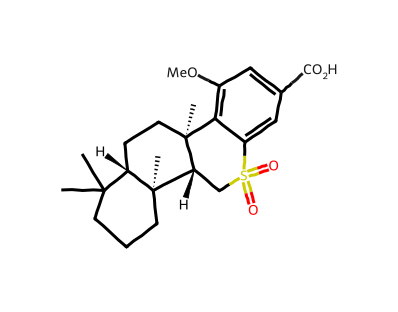 COc1cc(C(=O)O)cc2c1[C@]1(C)CC[C@H]3C(C)(C)CCC[C@]3(C)[C@H]1CS2(=O)=O